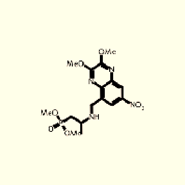 COc1nc2cc([N+](=O)[O-])cc(CNC(C)CP(=O)(OC)OC)c2nc1OC